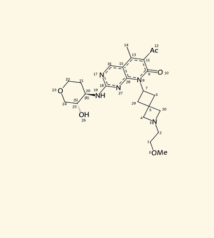 COCCN1CC2(CC(n3c(=O)c(C(C)=O)c(C)c4cnc(N[C@@H]5CCOC[C@H]5O)nc43)C2)C1